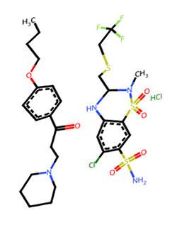 CCCCOc1ccc(C(=O)CCN2CCCCC2)cc1.CN1C(CSCC(F)(F)F)Nc2cc(Cl)c(S(N)(=O)=O)cc2S1(=O)=O.Cl